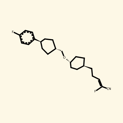 N#CC(F)=CCC[C@H]1CC[C@H](OC[C@H]2CC[C@H](c3ccc(F)cc3)CC2)CC1